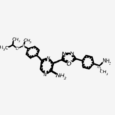 CC(C)OP(C)c1ccc(-c2cnc(N)c(-c3nnc(-c4ccc([C@@H](C)N)cc4)o3)n2)cc1